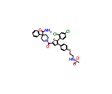 CS(=O)(=O)NCCSc1ccc(-c2cc(C(=O)N3CCC(C(N)=O)(c4ccccc4)CC3)sc2-c2ccc(Cl)cc2Cl)cc1